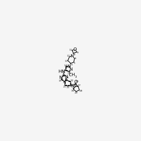 Cc1nn(C2CCN(C3COC3)CC2)cc1Nc1ncc2ccc(N3C(=O)C4CCC3C4)cc2n1